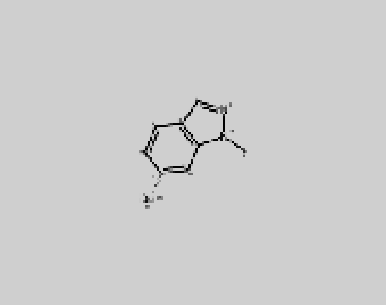 CC[C@@H](C)c1ccc2cnn(C)c2c1